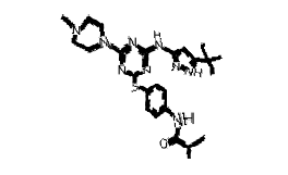 CC(C)C(=O)Nc1ccc(Sc2nc(Nc3cc(C(C)(C)C)[nH]n3)nc(N3CCN(C)CC3)n2)cc1